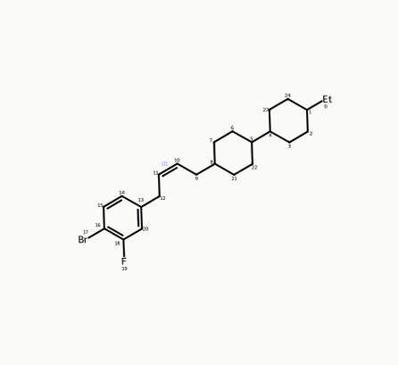 CCC1CCC(C2CCC(C/C=C\Cc3ccc(Br)c(F)c3)CC2)CC1